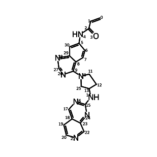 C=CC(=O)Nc1ccc2c(N3CCC(Nc4ncc5ccncc5n4)C3)ncnc2c1